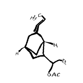 CC=C1C[C@H]2CC(C(CC)OC(C)=O)[C@@H]1C2